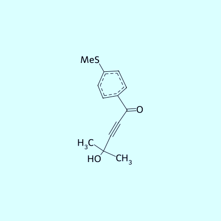 CSc1ccc(C(=O)C#CC(C)(C)O)cc1